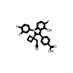 N#CCC1(c2c(-c3ccc(C(=O)O)cc3)c3c(O)c(F)ccc3n2-c2ccc(F)c(F)c2)CCC1